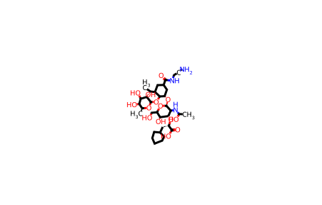 CCC1CC(C(=O)NCCN)C[C@@H](O[C@@H]2OC(CO)[C@H](O)C(O[C@@H](CC3CCCCC3)C(=O)O)C2NC(C)O)C1OC1O[C@@H](C)C(O)C(O)[C@@H]1O